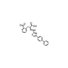 O=C(O)C(Cc1ccccc1[N+](=O)[O-])=NNc1nc(-c2ccc(-c3ccccc3)cc2)cs1